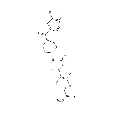 CC[C@H]1CN(c2ccc(C(=O)OC)nc2C)CCN1C1CCN(C(=O)c2ccc(C)c(F)c2)CC1